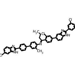 CCC/C(=N\c1ccc(-c2ccc(-c3nc4ccc(Cl)cc4[nH]3)cc2)cc1C)c1ccc(-c2ccc3[nH]c(-c4cccc(Cl)c4)nc3c2)cc1Cl